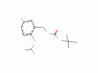 CC(C)Oc1ccc(Br)cc1CNC(=O)OC(C)(C)C